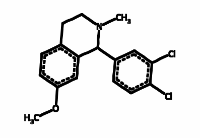 COc1ccc2c(c1)C(c1ccc(Cl)c(Cl)c1)N(C)CC2